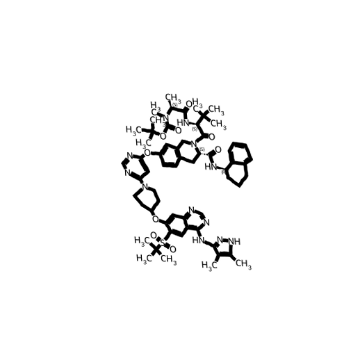 Cc1[nH]nc(Nc2ncnc3cc(OC4CCN(c5cc(Oc6ccc7c(c6)CN(C(=O)[C@@H](NC(=O)[C@H](C)N(C)C(=O)OC(C)(C)C)C(C)(C)C)[C@H](C(=O)N[C@@H]6CCCc8ccccc86)C7)ncn5)CC4)c(S(=O)(=O)C(C)(C)C)cc23)c1C